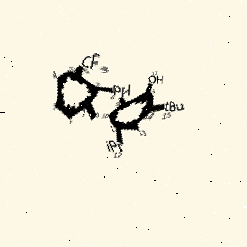 Cc1cccc(C(F)(F)F)c1Pc1cc(C(C)C)cc(C(C)(C)C)c1O